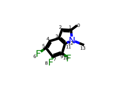 Cc1cc2cc(F)c(F)c(F)c2n1C